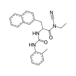 CCN(C#N)C(=O)C(Cc1ccc2ccccc2c1)NC(=O)Nc1ccccc1C